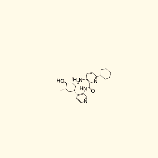 C[C@@H]1C[C@H](c2ccncc2NC(=O)c2nc(C3CCCCC3)ccc2N)C[C@H](C)[C@H]1O